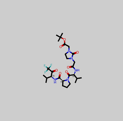 CC(C)[C@H](NC(=O)CN1CCN(CC(=O)OC(C)(C)C)C1=O)C(=O)N1CCC[C@H]1C(=O)N[C@H](C(=O)C(F)(F)F)C(C)C